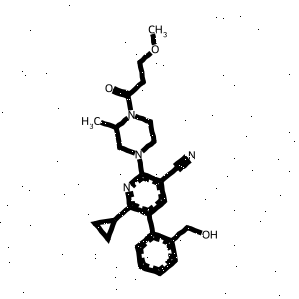 COCCC(=O)N1CCN(c2nc(C3CC3)c(-c3ccccc3CO)cc2C#N)CC1C